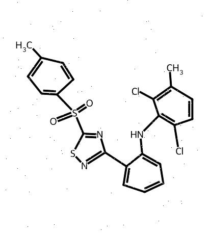 Cc1ccc(S(=O)(=O)c2nc(-c3ccccc3Nc3c(Cl)ccc(C)c3Cl)ns2)cc1